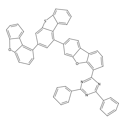 c1ccc(-c2nc(-c3ccccc3)nc(-c3cccc4c3oc3cc(-c5cc(-c6cccc7oc8ccccc8c67)cc6sc7ccccc7c56)ccc34)n2)cc1